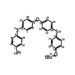 CC(C)c1ccc(Sc2ccc(Oc3ccc(Sc4ccc(OC(C)(C)C)cc4)cc3)cc2)cc1